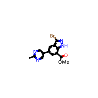 COC(=O)c1cc(-c2cnc(C)nc2)cc2c(Br)n[nH]c12